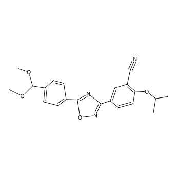 COC(OC)c1ccc(-c2nc(-c3ccc(OC(C)C)c(C#N)c3)no2)cc1